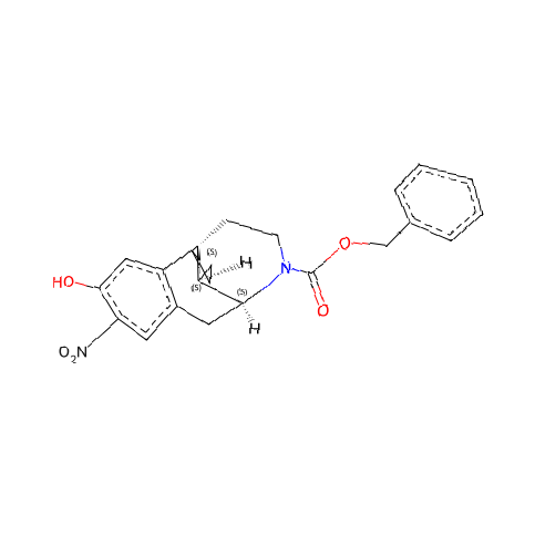 O=C(OCc1ccccc1)N1CC[C@@]23CCCC[C@@H]2[C@@H]1Cc1cc([N+](=O)[O-])c(O)cc13